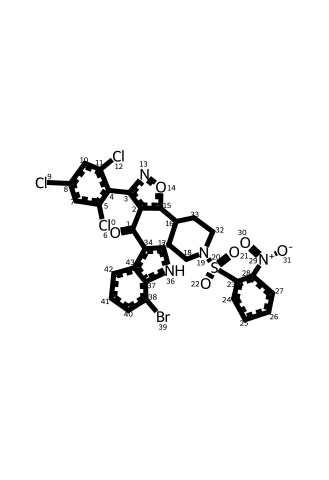 O=C(c1c(-c2c(Cl)cc(Cl)cc2Cl)noc1C1CCN(S(=O)(=O)c2ccccc2[N+](=O)[O-])CC1)c1c[nH]c2c(Br)cccc12